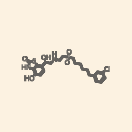 O=c1[nH]c2c(O)ccc([C@@H](O)CNCCS(=O)(=O)CCCCCCc3cccc(Cl)c3)c2s1